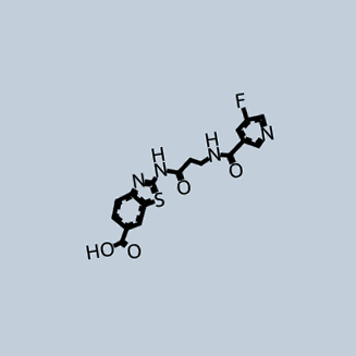 O=C(CCNC(=O)c1cncc(F)c1)Nc1nc2ccc(C(=O)O)cc2s1